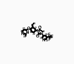 CCc1cc(N2C(=O)CN(c3cncc(C(F)(F)F)c3)C2=O)ccc1Oc1ccnc(C)n1